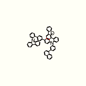 c1cc(-c2cccc3ccccc23)cc(N(c2ccc(-c3ccc(-c4ccccc4-n4c5ccccc5c5ccccc54)cc3)cc2)c2ccccc2-c2cccc3c2oc2ccccc23)c1